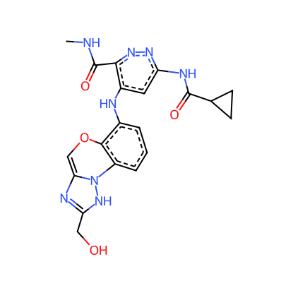 CNC(=O)c1nnc(NC(=O)C2CC2)cc1Nc1cccc2c1OC=C1N=C(CO)NN12